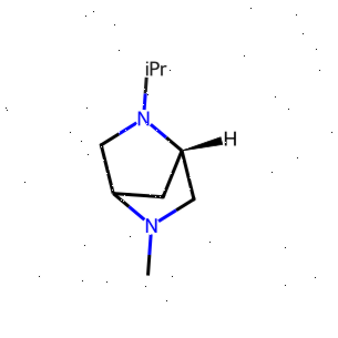 CC(C)N1CC2C[C@H]1CN2C